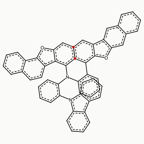 c1ccc(N(c2ccccc2-n2c3ccccc3c3ccccc32)c2cccc3oc4c5ccccc5ccc4c23)c(-c2cccc3c2oc2cc4ccccc4cc23)c1